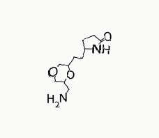 NCC1COCC(CCC2CCC(=O)N2)O1